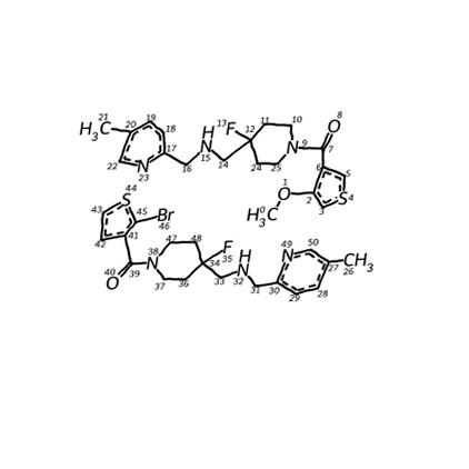 COc1cscc1C(=O)N1CCC(F)(CNCc2ccc(C)cn2)CC1.Cc1ccc(CNCC2(F)CCN(C(=O)c3ccsc3Br)CC2)nc1